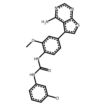 COc1cc(-c2csc3ncnc(N)c23)ccc1NC(=O)Nc1cccc(Cl)c1